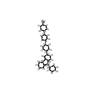 Brc1ccc(-c2ccc(-c3ccc(-c4ccc5c(c4)c4ccccc4n5-c4ccccc4)cc3)cc2)cc1